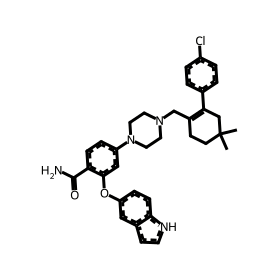 CC1(C)CCC(CN2CCN(c3ccc(C(N)=O)c(Oc4ccc5[nH]ccc5c4)c3)CC2)=C(c2ccc(Cl)cc2)C1